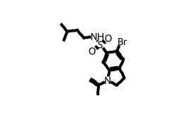 C=C(C)N1CCc2cc(Br)c(S(=O)(=O)NCCC(C)C)cc21